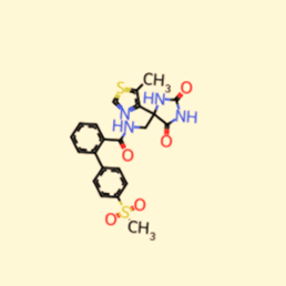 Cc1scnc1C1(CNC(=O)c2ccccc2-c2ccc(S(C)(=O)=O)cc2)NC(=O)NC1=O